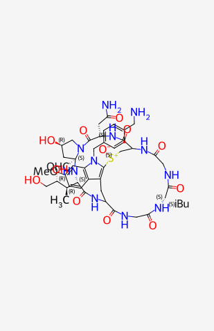 CC[C@H](C)[C@@H]1NC(=O)CNC(=O)C2Cc3c(n(Cc4ccc(CN)cc4)c4cc(OC)ccc34)[S@+]([O-])CC(NC(=O)CNC1=O)C(=O)N[C@@H](CC(N)=O)C(=O)N1C[C@H](O)C[C@]1(C=O)N[C@@H]([C@@H](C)[C@@H](O)CO)C(=O)N2